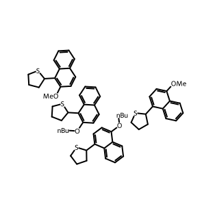 CCCCOc1ccc(C2CCCS2)c2ccccc12.CCCCOc1ccc2ccccc2c1C1CCCS1.COc1ccc(C2CCCS2)c2ccccc12.COc1ccc2ccccc2c1C1CCCS1